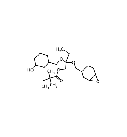 CCC(COC(=O)C(C)(C)CC)(OCC1CCCC(O)C1)OCC1CCC2OC2C1